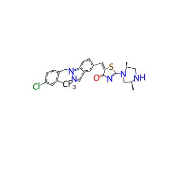 C[C@H]1CN(C2=NC(=O)C(=Cc3ccc4c(cnn4Cc4ccc(Cl)cc4C(F)(F)F)c3)S2)[C@@H](C)CN1